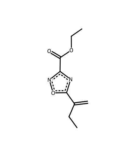 C=C(CC)c1nc(C(=O)OCC)no1